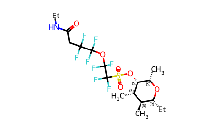 CCNC(=O)CC(F)(F)C(F)(F)OC(F)(F)C(F)(F)S(=O)(=O)O[C@H]1[C@@H](C)[C@H](C)[C@@H](CC)O[C@H]1C